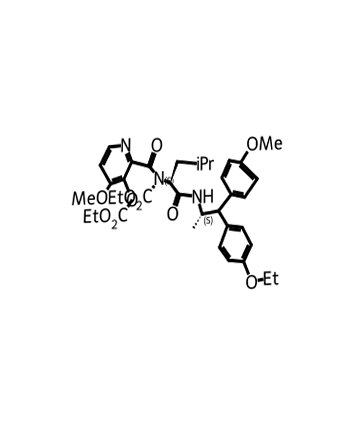 CCOC(=O)Oc1c(OC)ccnc1C(=O)N(C(=O)OCC)[C@@H](CC(C)C)C(=O)N[C@@H](C)C(c1ccc(OC)cc1)c1ccc(OCC)cc1